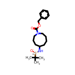 CC(C)(C)[S@@+]([O-])NC1CCCCN(C(=O)OCc2ccccc2)CCC1